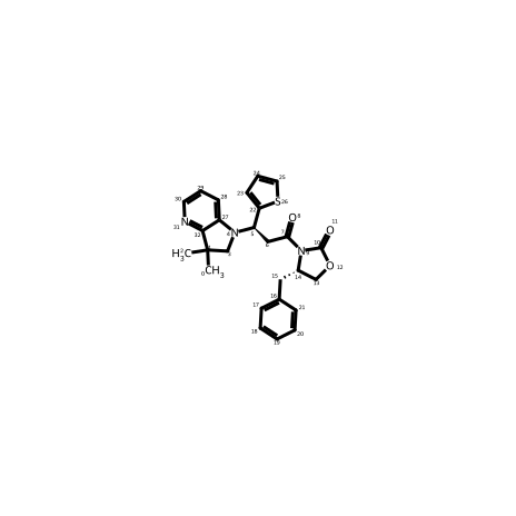 CC1(C)CN([C@H](CC(=O)N2C(=O)OC[C@@H]2Cc2ccccc2)c2cccs2)c2cccnc21